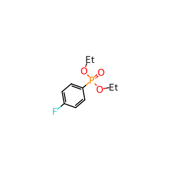 CCOP(=O)(OCC)c1ccc(F)cc1